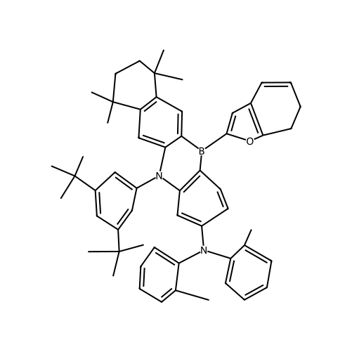 Cc1ccccc1N(c1ccc2c(c1)N(c1cc(C(C)(C)C)cc(C(C)(C)C)c1)c1cc3c(cc1B2c1cc2c(o1)CCC=C2)C(C)(C)CCC3(C)C)c1ccccc1C